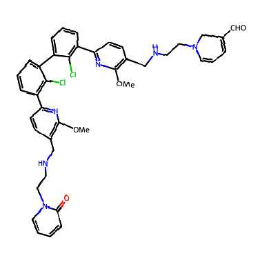 COc1nc(-c2cccc(-c3cccc(-c4ccc(CNCCn5ccccc5=O)c(OC)n4)c3Cl)c2Cl)ccc1CNCCN1C=CC=C(C=O)C1